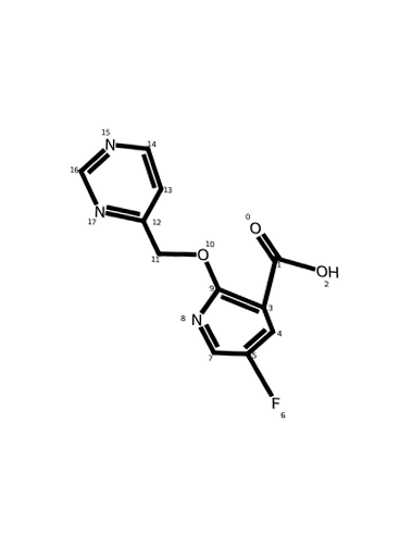 O=C(O)c1cc(F)cnc1OCc1ccncn1